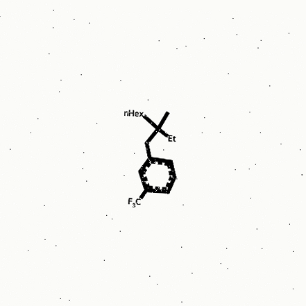 CCCCCCC(C)(CC)Cc1cccc(C(F)(F)F)c1